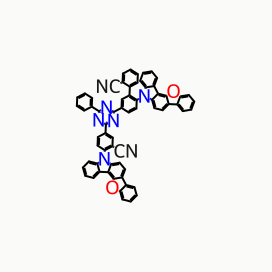 N#Cc1ccccc1-c1cc(-c2nc(-c3ccccc3)nc(-c3ccc(-n4c5ccccc5c5c6oc7ccccc7c6ccc54)c(C#N)c3)n2)ccc1-n1c2ccccc2c2c3oc4ccccc4c3ccc21